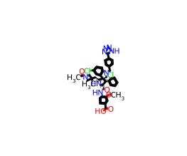 COc1cc(C(=O)O)ccc1NC(=O)[C@@H]1N[C@@H](CC2(C)CN(C(C)=O)C2)[C@@]2(CN(Cc3ccc(-c4nnn[nH]4)cc3)c3ccc(Cl)cc32)[C@H]1c1ccccc1Cl